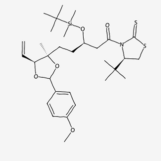 C=C[C@@H]1OC(c2ccc(OC)cc2)O[C@]1(C)CC[C@H](CC(=O)N1C(=S)SC[C@H]1C(C)(C)C)O[Si](C)(C)C(C)(C)C